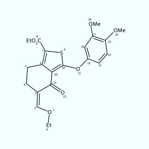 CCO/C=C1/CCc2c(C(=O)OCC)sc(Oc3ccc(OC)c(OC)c3)c2C1=O